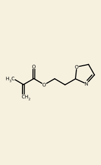 C=C(C)C(=O)OCCC1N=CCO1